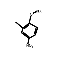 CCCCOc1ccc([N+](=O)[O-])cc1C